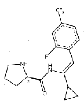 O=C(NC(=Cc1ccc(C(F)(F)F)cc1F)C1CC1)[C@H]1CCCN1